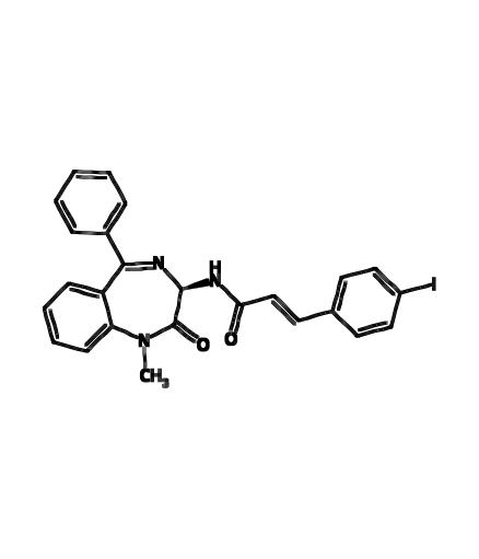 CN1C(=O)[C@H](NC(=O)/C=C/c2ccc(I)cc2)N=C(c2ccccc2)c2ccccc21